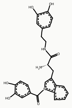 N[C@@H](Cc1cn(C(=O)c2ccc(O)c(O)c2)c2ccccc12)C(=O)NCCc1ccc(O)c(O)c1